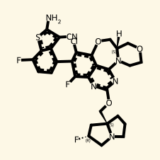 N#Cc1c(N)sc2c(F)ccc(-c3c(Cl)c4c5c(nc(OC[C@@]67CCCN6C[C@H](F)C7)nc5c3F)N3CCOC[C@H]3CO4)c12